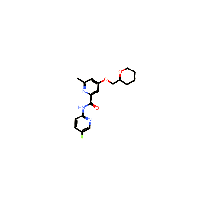 Cc1cc(OCC2CCCCO2)cc(C(=O)Nc2ccc(F)cn2)n1